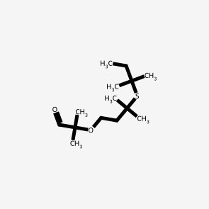 CCC(C)(C)SC(C)(C)CCOC(C)(C)C=O